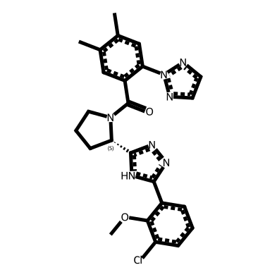 COc1c(Cl)cccc1-c1nnc([C@@H]2CCCN2C(=O)c2cc(C)c(C)cc2-n2nccn2)[nH]1